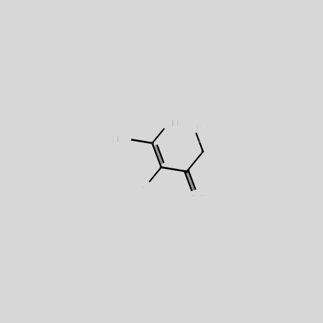 C=C(CC(C)(C)C)C(C)=C(C)C